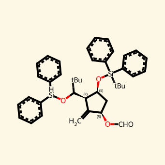 C=C1[C@H](OC=O)C[C@H](O[Si](c2ccccc2)(c2ccccc2)C(C)(C)C)[C@@H]1C(O[SiH](c1ccccc1)c1ccccc1)C(C)(C)C